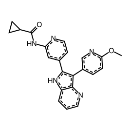 COc1ccc(-c2c(-c3ccnc(NC(=O)C4CC4)c3)[nH]c3cccnc23)cn1